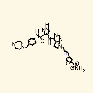 CN1CCN(Cc2ccc(NC(=O)c3n[nH]cc3Nc3ncnc4c3ccn4C/C=C/c3coc(S(N)(=O)=O)c3)cc2)CC1